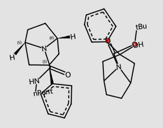 CC(C)(C)OC(=O)N1C2CCC1CC(O)(c1ccccc1)C2.CCCCCNC(=O)N1[C@@H]2CC[C@H]1C[C@H](c1ccccc1)C2